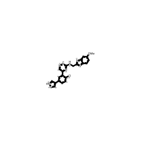 COc1ccc2sc(CNc3nncc(-c4cc(-c5cn[nH]c5)ccc4Cl)n3)nc2c1